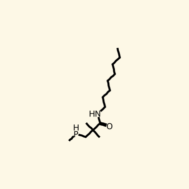 CCCCCCCCNC(=O)C(C)(C)CPC